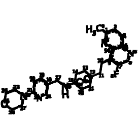 Cc1ccc2ncc(F)c(CCC34CCC(NCc5ccc(N6CCOCC6)nc5)(CC3)CO4)c2n1